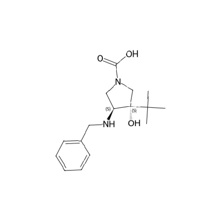 CC(C)(C)[C@]1(O)CN(C(=O)O)C[C@@H]1NCc1ccccc1